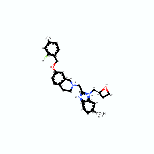 N#Cc1ccc(COc2ccc3c(c2)CN(Cc2nc4ccc(C(=O)O)cc4n2C[C@@H]2CCO2)CC3)c(F)c1